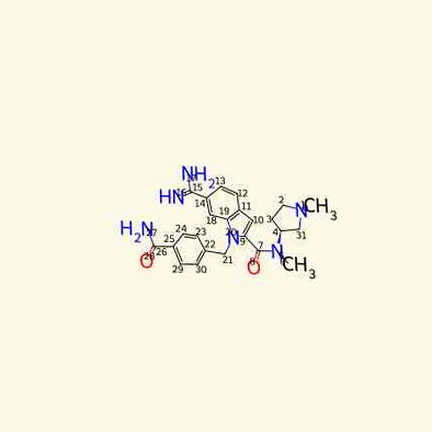 CN1CC[C@H](N(C)C(=O)c2cc3ccc(C(=N)N)cc3n2Cc2ccc(C(N)=O)cc2)C1